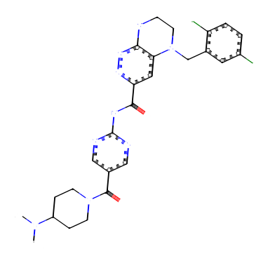 CN(C)C1CCN(C(=O)c2cnc(NC(=O)c3cc4c(nn3)NCCN4Cc3cc(Cl)ccc3Cl)nc2)CC1